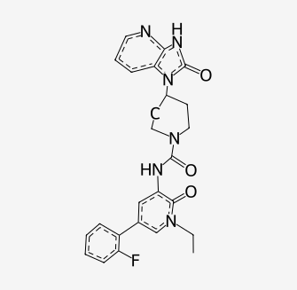 CCn1cc(-c2ccccc2F)cc(NC(=O)N2CCC(n3c(=O)[nH]c4ncccc43)CC2)c1=O